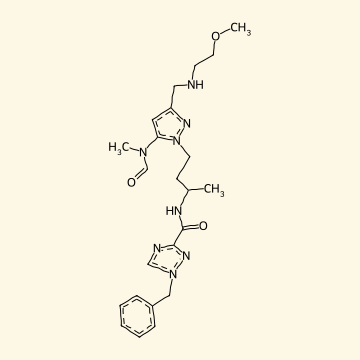 COCCNCc1cc(N(C)C=O)n(CCC(C)NC(=O)c2ncn(Cc3ccccc3)n2)n1